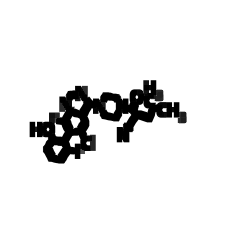 CC(C)/C=C(/C#N)C(=O)N1CCN(c2ncnc3c(F)c(-c4c(O)cccc4F)c(Cl)cc23)CC1